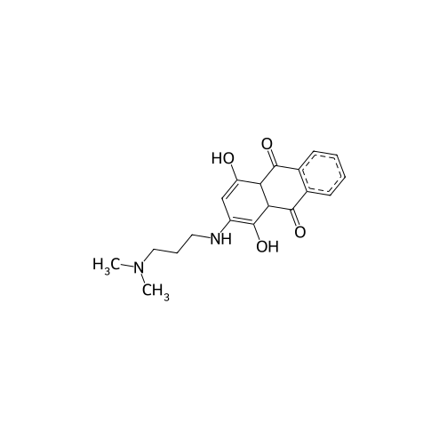 CN(C)CCCNC1=C(O)C2C(=O)c3ccccc3C(=O)C2C(O)=C1